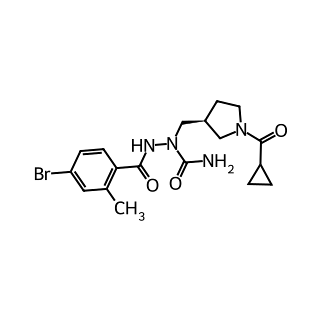 Cc1cc(Br)ccc1C(=O)NN(C[C@H]1CCN(C(=O)C2CC2)C1)C(N)=O